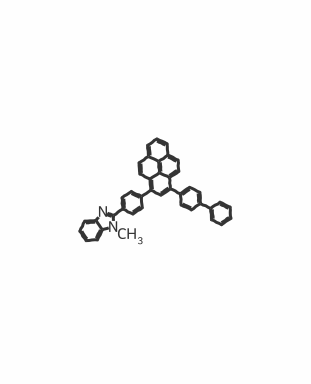 Cn1c(-c2ccc(-c3cc(-c4ccc(-c5ccccc5)cc4)c4ccc5cccc6ccc3c4c56)cc2)nc2ccccc21